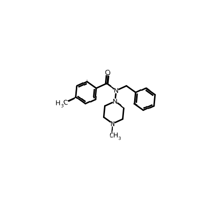 Cc1c[c]c(C(=O)N(Cc2ccccc2)N2CCN(C)CC2)cc1